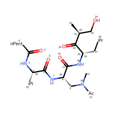 CCCCCC(=O)N[C@H](C(=O)N[C@@H](CN(C)C(C)=O)C(=O)N[C@@H](CC(C)C)C(=O)[C@@H](C)CO)C(C)C